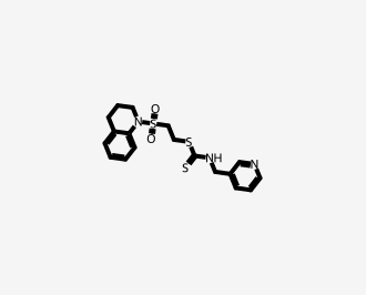 O=S(=O)(CCSC(=S)NCc1cccnc1)N1CCCc2ccccc21